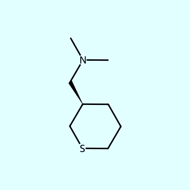 CN(C)C[C@H]1CCCSC1